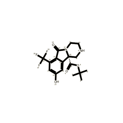 CC(C)(C)OC(=O)[C@@]12CNCCN1C(=O)c1c(C(F)(F)F)cc(O)cc12